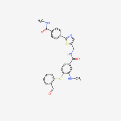 CNC(=O)c1ccc(-c2ncc(CNC(=O)c3ccc(Sc4ccccc4C=O)c(NC)c3)s2)cc1